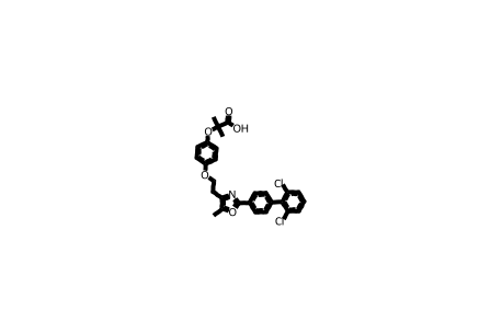 Cc1oc(-c2ccc(-c3c(Cl)cccc3Cl)cc2)nc1CCOc1ccc(OC(C)(C)C(=O)O)cc1